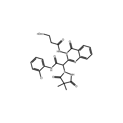 CCCCCCCCCCCCC(=O)Nn1c(C(C(=O)Nc2ccccc2Cl)N2NC(=O)C(C)(C)C2=O)nc2ccccc2c1=O